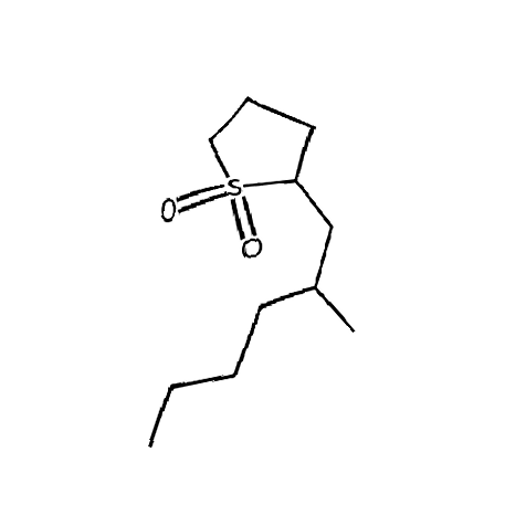 CCCCC(C)CC1CCCS1(=O)=O